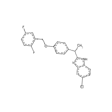 CC(c1ccc(OCc2cc(F)ccc2F)cc1)c1nc2cc(Cl)ccc2[nH]1